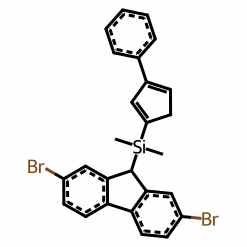 C[Si](C)(C1=CC(c2ccccc2)=CC1)C1c2cc(Br)ccc2-c2ccc(Br)cc21